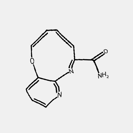 NC(=O)c1ccccoc2cccnc2n1